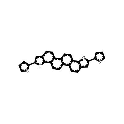 c1csc(-c2cc3ccc4c5ccc6c(ccc7cc(-c8cccs8)oc76)c5ccc4c3o2)c1